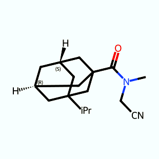 CC(C)C12C[C@@H]3C[C@@H](CC(C(=O)N(C)CC#N)(C3)C1)C2